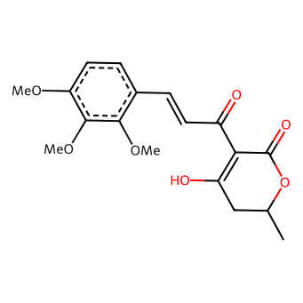 COc1ccc(C=CC(=O)C2=C(O)CC(C)OC2=O)c(OC)c1OC